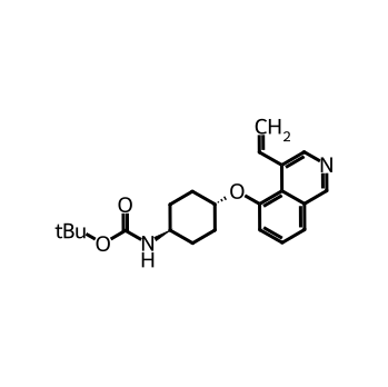 C=Cc1cncc2cccc(O[C@H]3CC[C@H](NC(=O)OC(C)(C)C)CC3)c12